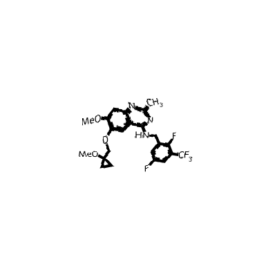 COc1cc2nc(C)nc(NCc3cc(F)cc(C(F)(F)F)c3F)c2cc1OCC1(OC)CC1